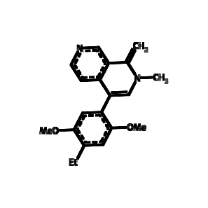 C=C1c2cnccc2C(c2cc(OC)c(CC)cc2OC)=CN1C